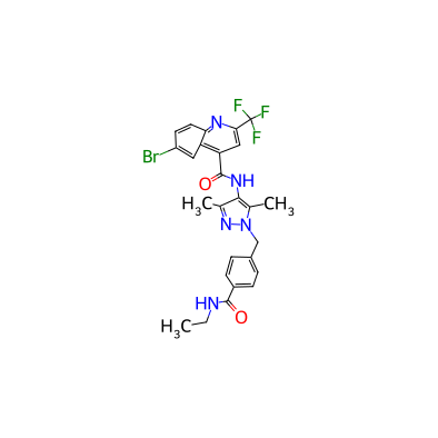 CCNC(=O)c1ccc(Cn2nc(C)c(NC(=O)c3cc(C(F)(F)F)nc4ccc(Br)cc34)c2C)cc1